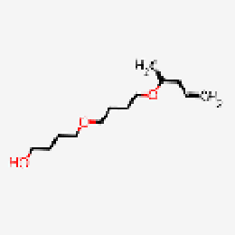 C=CCC(=C)OCCCCOCCCCO